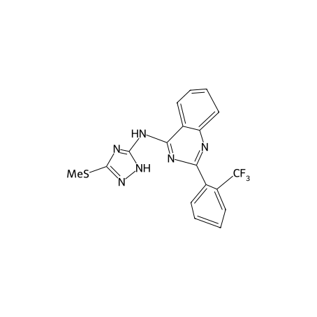 CSc1n[nH]c(Nc2nc(-c3ccccc3C(F)(F)F)nc3ccccc23)n1